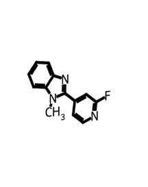 Cn1c(-c2ccnc(F)c2)nc2ccccc21